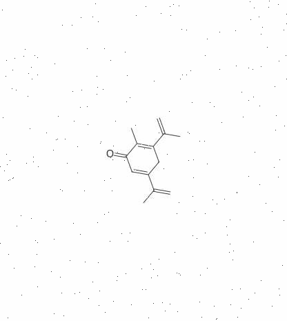 C=C(C)C1=CC(=O)C(C)=C(C(=C)C)C1